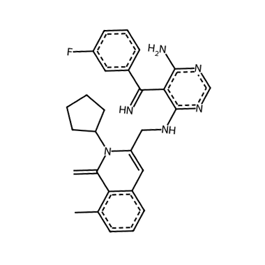 C=C1c2c(C)cccc2C=C(CNc2ncnc(N)c2C(=N)c2cccc(F)c2)N1C1CCCC1